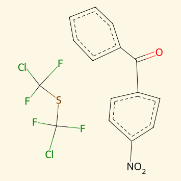 FC(F)(Cl)SC(F)(F)Cl.O=C(c1ccccc1)c1ccc([N+](=O)[O-])cc1